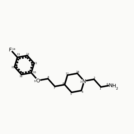 NCCN1CCC(CCOc2ccc(F)cc2)CC1